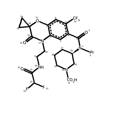 CC(C)N(C(=O)c1cc2c(cc1C(F)(F)F)OC1(CC1)C(=O)N2CCNC(=O)C(F)F)[C@@H]1CCCN(C(=O)O)C1